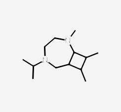 CC1C(C)C2C1CN(C(C)C)CCN2C